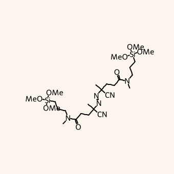 CO[Si](CCCN(C)C(=O)CCC(C)(C#N)N=NC(C)(C#N)CCC(=O)N(C)CCC[Si](OC)(OC)OC)(OC)OC